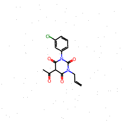 C=CCN1C(=O)C(C(C)=O)C(=O)N(c2cccc(Cl)c2)C1=O